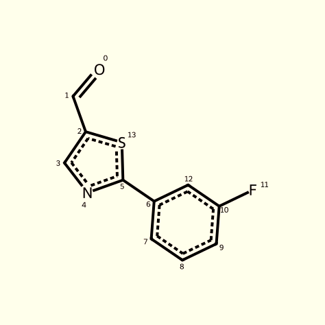 O=Cc1cnc(-c2cccc(F)c2)s1